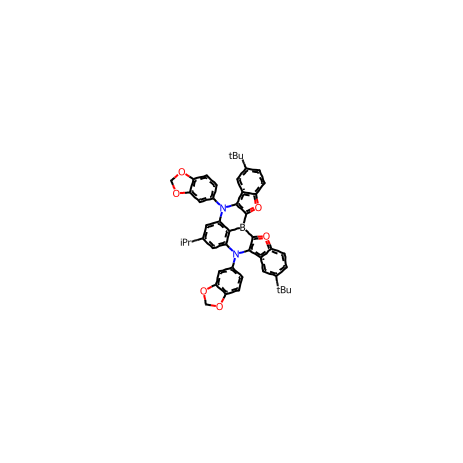 CC(C)c1cc2c3c(c1)N(c1ccc4c(c1)OCO4)c1c(oc4ccc(C(C)(C)C)cc14)B3c1oc3ccc(C(C)(C)C)cc3c1N2c1ccc2c(c1)OCO2